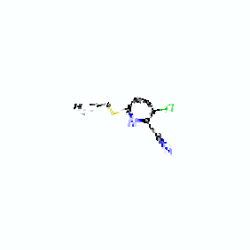 CCSc1ccc(Cl)c(C#N)n1